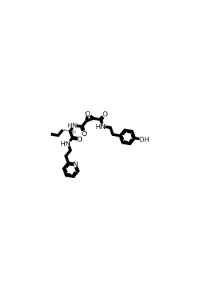 CCC[C@H](NC(=O)C1OC1C(=O)NCCc1ccc(O)cc1)C(=O)NCCc1ccccn1